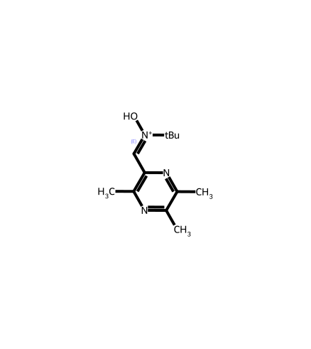 Cc1nc(C)c(/C=[N+](/O)C(C)(C)C)nc1C